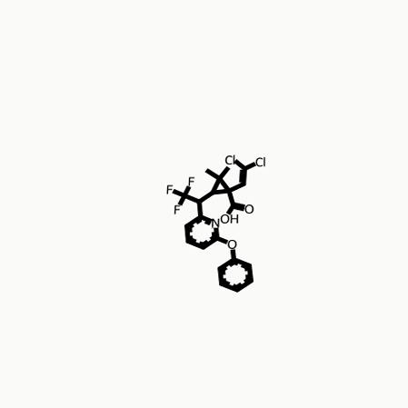 CC1(C)C(C(c2cccc(Oc3ccccc3)n2)C(F)(F)F)C1(C=C(Cl)Cl)C(=O)O